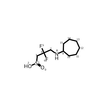 O=S(O)CC(F)(F)CNC1CCCCCC1